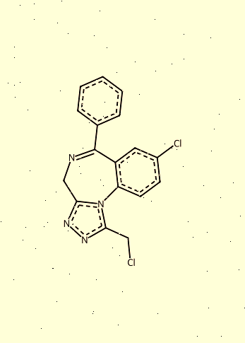 ClCc1nnc2n1-c1ccc(Cl)cc1C(c1ccccc1)=NC2